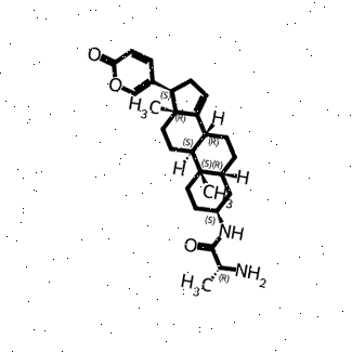 C[C@@H](N)C(=O)N[C@H]1CC[C@@]2(C)[C@H](CC[C@H]3C4=CC[C@H](c5ccc(=O)oc5)[C@@]4(C)CC[C@@H]32)C1